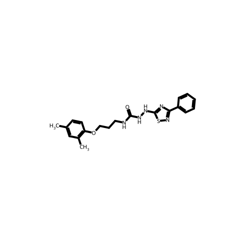 Cc1ccc(OCCCNC(=O)NNc2nc(-c3ccccc3)ns2)c(C)c1